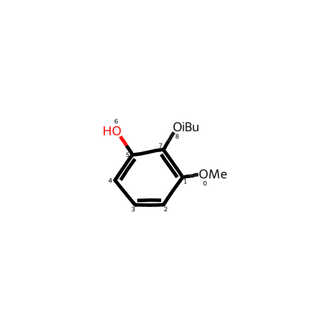 COc1cccc(O)c1OCC(C)C